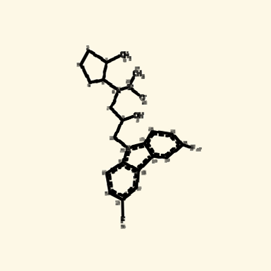 CC1CCCC1N(CC(O)Cn1c2ccc(F)cc2c2cc(F)ccc21)[S+](C)[O-]